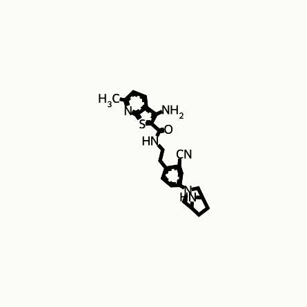 Cc1ccc2c(N)c(C(=O)NCCc3ccc(N4CC5CCC(C4)N5)cc3C#N)sc2n1